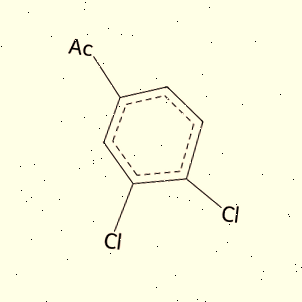 [CH2]C(=O)c1ccc(Cl)c(Cl)c1